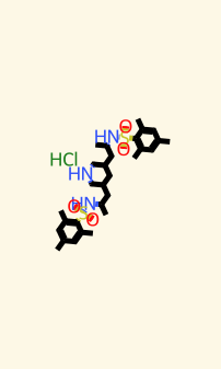 Cc1cc(C)c(S(=O)(=O)NC(C)CC2CNCC(CC(C)NS(=O)(=O)c3c(C)cc(C)cc3C)C2)c(C)c1.Cl